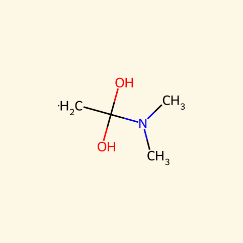 [CH2]C(O)(O)N(C)C